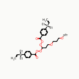 [CH2]CCOCCCOCC[C](OOC(=O)c1ccc([Si](C=C)(CC)CC)cc1)OOC(=O)c1ccc([Si](C=C)(CC)CC)cc1